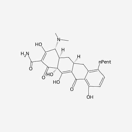 CCCCCc1ccc(O)c2c1C[C@@H]1C[C@@H]3[C@@H](N(C)C)C(O)=C(C(N)=O)C(=O)[C@]3(O)C(O)=C1C2=O